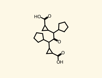 O=C(O)C1CC1C(C(=O)C(C1CCCC1)C1CC1C(=O)O)C1CCCC1